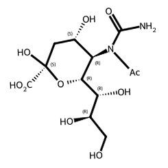 CC(=O)N(C(N)=O)[C@H]1[C@H]([C@H](O)[C@H](O)CO)O[C@](O)(C(=O)O)C[C@@H]1O